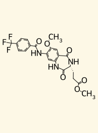 COC(=O)CC[C@H]1NC(=O)c2cc(OC)c(NC(=O)c3ccc(C(F)(F)F)cc3)cc2NC1=O